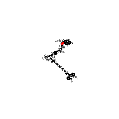 C#Cc1ccccc1N(Cc1ccccc1C)C(=O)CCC(=O)NCCOCCOCCOCCOCCC(=O)N[C@H](C(=O)N[C@@H](CCCNC(N)=O)C(=O)Nc1ccc(COC(=O)N(C)CCNC(=O)OCC(=O)[C@@]23OC(CCC)O[C@@H]2C[C@H]2[C@@H]4C[C@H](F)C5=CC(=O)C=C[C@]5(C)[C@@]4(F)[C@@H](O)C[C@@]23C)cc1)C(C)C